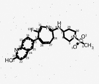 CS(=O)(=O)N1CCC(N/C2=N/C=C(/F)C(c3ccc4nc(O)ccc4c3)=C=CC2)CC1